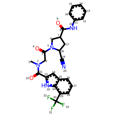 CN(CC(=O)N1CC(C(=O)Nc2ccccc2)CC1C#N)C(=O)c1cc2cccc(C(F)(F)F)c2[nH]1